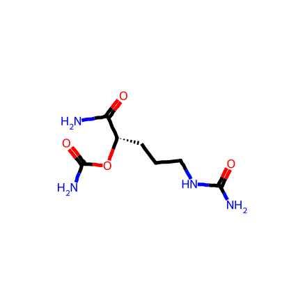 NC(=O)NCCC[C@H](OC(N)=O)C(N)=O